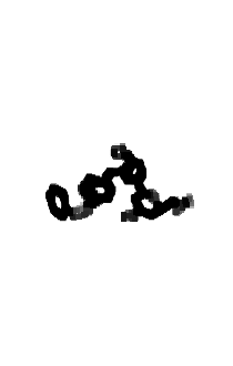 OCC1CC(O)CC(c2ccc(Cl)c(Cc3ccc(OC4CCCCC4)cc3)c2)O1